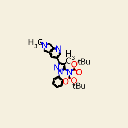 Cc1c(-c2cnc3c(c2)CN(C)C3)nn(-c2ccccc2)c1N(C(=O)OC(C)(C)C)C(=O)OC(C)(C)C